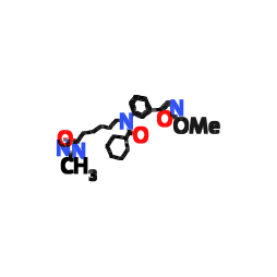 COc1ncc(-c2cccc(N(CCCCCc3nc(C)no3)C(=O)C3CCCCC3)c2)o1